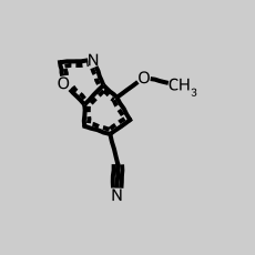 COc1cc(C#N)cc2ocnc12